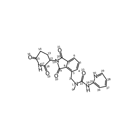 CN(Cc1cccc2c1C(=O)N(C1CCC(=O)NC1=O)C2=O)C(=O)Nc1ccccn1